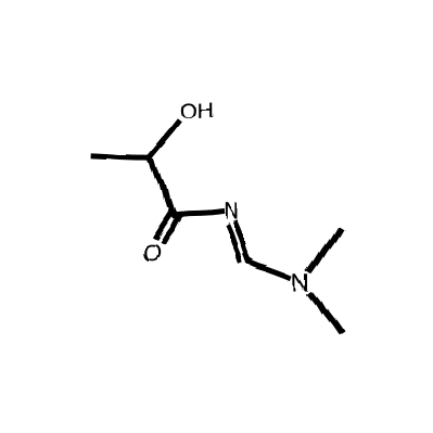 CC(O)C(=O)N=CN(C)C